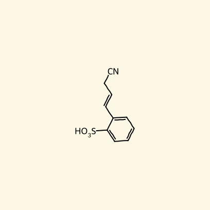 N#CCC=Cc1ccccc1S(=O)(=O)O